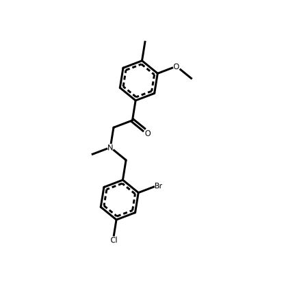 COc1cc(C(=O)CN(C)Cc2ccc(Cl)cc2Br)ccc1C